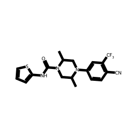 CC1CN(c2ccc(C#N)c(C(F)(F)F)c2)C(C)CN1C(=O)Nc1cccs1